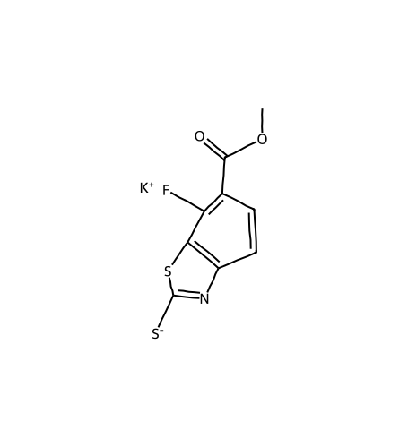 COC(=O)c1ccc2nc([S-])sc2c1F.[K+]